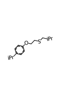 CC(C)CSCCOc1ccc(C(C)C)cc1